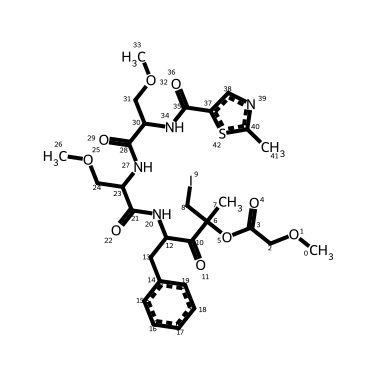 COCC(=O)OC(C)(CI)C(=O)C(Cc1ccccc1)NC(=O)C(COC)NC(=O)C(COC)NC(=O)c1cnc(C)s1